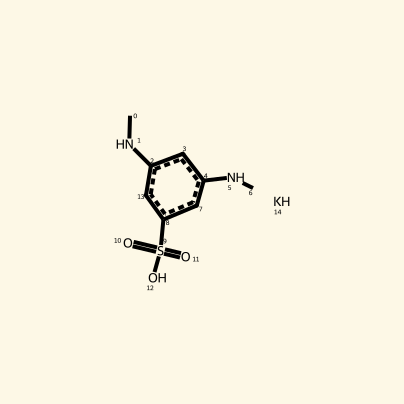 CNc1cc(NC)cc(S(=O)(=O)O)c1.[KH]